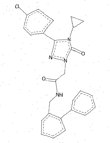 O=C(Cn1nc(-c2ccc(Cl)cc2)n(C2CC2)c1=O)NCc1ccccc1-c1ccccc1